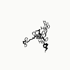 CC(C)[C@H](NC(=O)CCCCCN1C(=O)C=CC1=O)C(=O)N[C@@H](CCCNC(N)=O)C(=O)Nc1ccc(CI)cc1